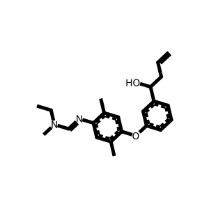 C=CCC(O)c1cccc(Oc2cc(C)c(/N=C/N(C)CC)cc2C)c1